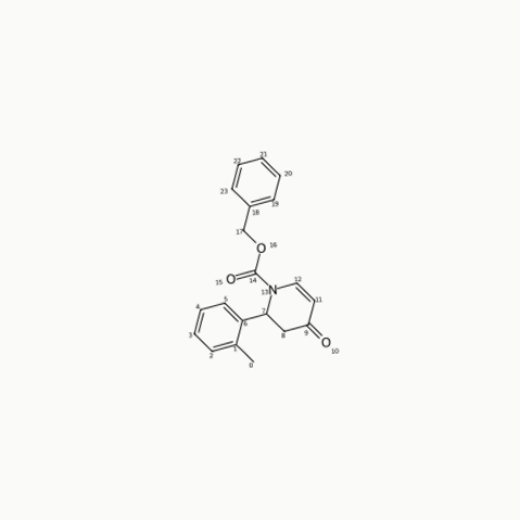 Cc1ccccc1C1CC(=O)C=CN1C(=O)OCc1ccccc1